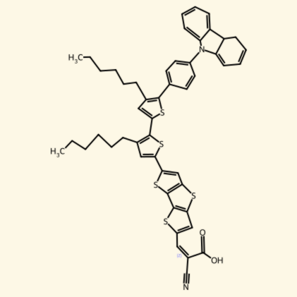 CCCCCCc1cc(-c2sc(-c3cc4sc5cc(/C=C(/C#N)C(=O)O)sc5c4s3)cc2CCCCCC)sc1-c1ccc(N2C3=CC=CCC3c3ccccc32)cc1